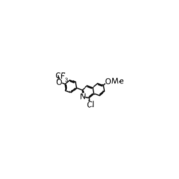 COc1ccc2c(Cl)nc(-c3ccc(OC(F)(F)F)cc3)cc2c1